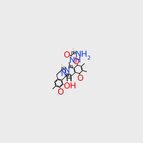 COc1c(C)cc2c(c1O)C1[C@@H]3CC4=C(C(=O)C(C)=C(C)C4=O)[C@H](CNC(=O)[C@H](C)N)N3[C@@H](C)C(C2)N1C